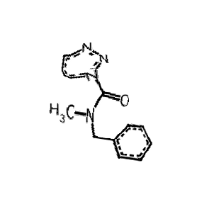 CN(Cc1ccccc1)C(=O)n1ccnn1